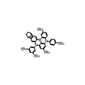 CC(C)(C)c1ccc(N2c3ccc(C(C)(C)C)cc3B3c4cc5c(cc4N(c4cc(C(C)(C)C)cc(C(C)(C)C)c4)c4cc(C(C)(C)C)cc2c43)C2CCC5C2)cc1